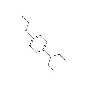 CCOc1ccc(C(CC)CC)cn1